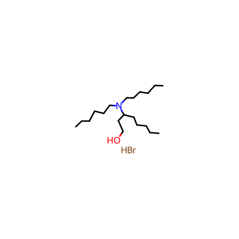 Br.CCCCCCN(CCCCCC)C(CCO)CCCCC